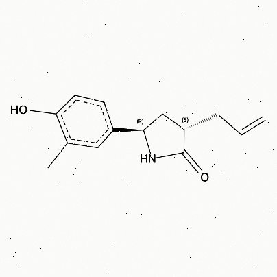 C=CC[C@H]1C[C@H](c2ccc(O)c(C)c2)NC1=O